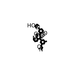 Cc1cc(-c2cnco2)cc(-c2nn(-c3cc(N4CC[C@H](O)C4)ccc3S(C)(=O)=O)c(=O)c3ncccc23)c1